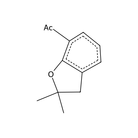 CC(=O)c1cccc2c1OC(C)(C)C2